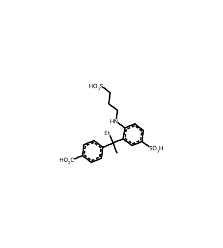 CCC(C)(c1ccc(C(=O)O)cc1)c1cc(S(=O)(=O)O)ccc1NCCCS(=O)(=O)O